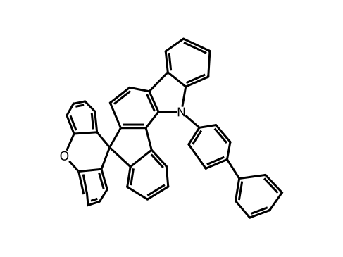 c1ccc(-c2ccc(-n3c4ccccc4c4ccc5c(c43)-c3ccccc3C53c4ccccc4Oc4ccccc43)cc2)cc1